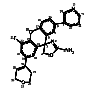 NC1=NC2(CO1)c1cc(-c3cccnc3)ccc1Oc1c(F)cc(C3=CCOCC3)cc12